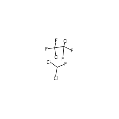 FC(Cl)Cl.FC(F)(Cl)C(F)(F)Cl